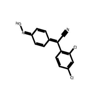 N#CC(=C1C=CC(=NO)C=C1)c1ccc(Cl)cc1Cl